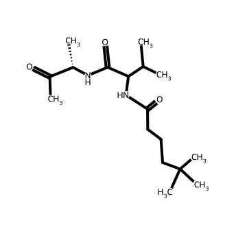 CC(=O)[C@H](C)NC(=O)C(NC(=O)CCCC(C)(C)C)C(C)C